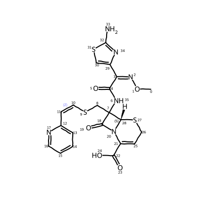 CON=C(C(=O)NC1(CS/C=C\c2ccccn2)C(=O)N2C(C(=O)O)=CCS[C@H]21)c1csc(N)n1